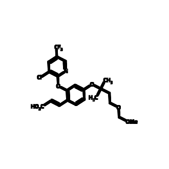 COCOCCC(C)(C)Oc1ccc(/C=C/C(=O)O)c(Oc2ncc(C(F)(F)F)cc2Cl)c1